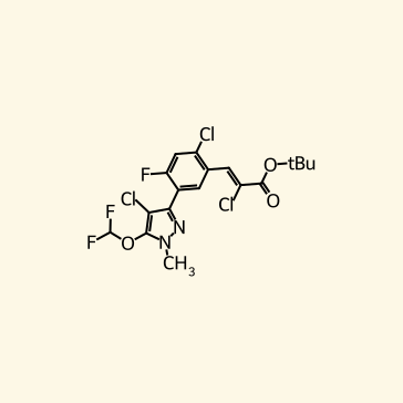 Cn1nc(-c2cc(C=C(Cl)C(=O)OC(C)(C)C)c(Cl)cc2F)c(Cl)c1OC(F)F